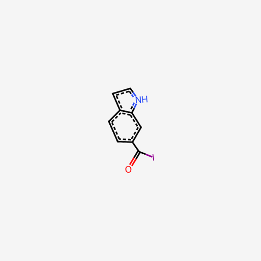 O=C(I)c1ccc2cc[nH]c2c1